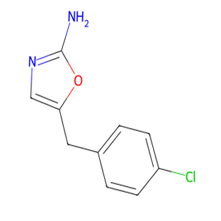 Nc1ncc(Cc2ccc(Cl)cc2)o1